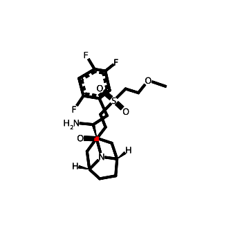 COCCS(=O)(=O)CCC(=O)N1[C@@H]2CC[C@H]1C[C@H](C(N)Cc1cc(F)c(F)cc1F)C2